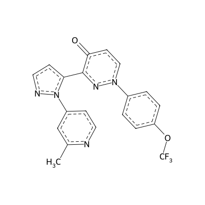 Cc1cc(-n2nccc2-c2nn(-c3ccc(OC(F)(F)F)cc3)ccc2=O)ccn1